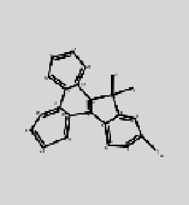 CC1(C)c2cc(I)ccc2-c2c1c1ccccc1c1ccccc21